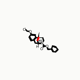 O=C(OCc1ccccc1)N1CC[C@]23CCCC[C@H]2[C@H]1Cc1ccc(OCCl)cc13